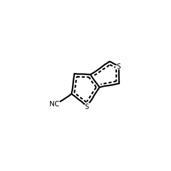 N#Cc1cc2cscc2s1